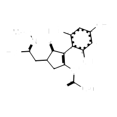 CON=C(C)CC1CC(OC(=O)C(C)(C)C)=C(c2c(C)cc(C)cc2C)C1=O